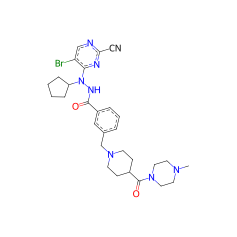 CN1CCN(C(=O)C2CCN(Cc3cccc(C(=O)NN(c4nc(C#N)ncc4Br)C4CCCC4)c3)CC2)CC1